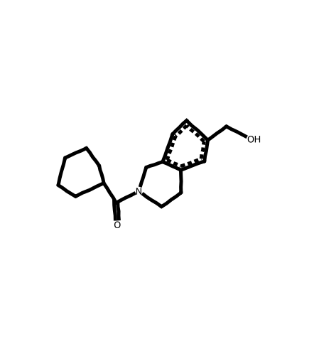 O=C(C1CCCCC1)N1CCc2cc(CO)ccc2C1